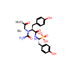 CC[C@H](C)[C@@H](C(=O)OC)N(C(N)=O)[C@@H](Cc1ccc(O)cc1)C(=O)N[C@@H](Cc1ccc(O)cc1)P(=O)(O)O